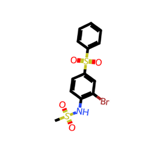 CS(=O)(=O)Nc1ccc(S(=O)(=O)c2ccccc2)cc1Br